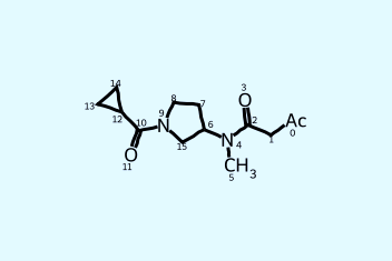 CC(=O)CC(=O)N(C)C1CCN(C(=O)C2CC2)C1